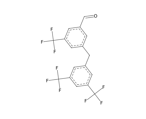 O=Cc1cc(Cc2cc(C(F)(F)F)cc(C(F)(F)F)c2)cc(C(F)(F)F)c1